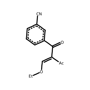 CCOC=C(C(C)=O)C(=O)c1cccc(C#N)c1